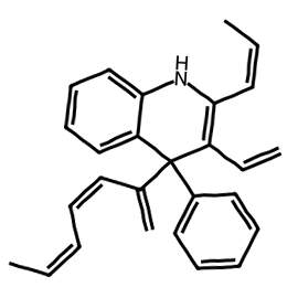 C=CC1=C(/C=C\C)Nc2ccccc2C1(C(=C)/C=C\C=C/C)c1ccccc1